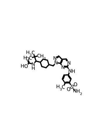 Cc1ccc(Nc2ncc3cnn(CC4CCC(C(NC(=O)O)C(C)(C)C)CC4)c3n2)cc1S(N)(=O)=O